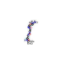 CCN(C)SNc1ccc(F)c(Oc2ccc3ncn(C4CCC5(CCN(C(=O)CN6CCC(c7cc(F)c(NC(CCC=O)C(=O)NC)cc7F)CC6)CC5)C4)c(=O)c3c2)c1C#N